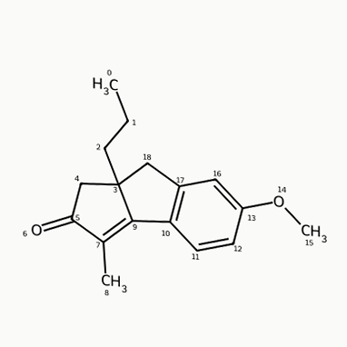 CCCC12CC(=O)C(C)=C1c1ccc(OC)cc1C2